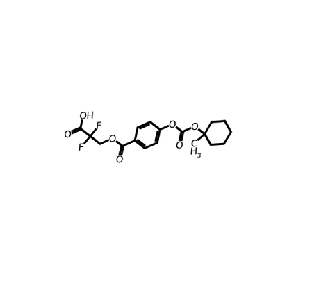 CC1(OC(=O)Oc2ccc(C(=O)OCC(F)(F)C(=O)O)cc2)CCCCC1